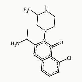 CC(N)c1nc2cccc(Cl)c2c(=O)n1N1CCNC(C(F)(F)F)C1